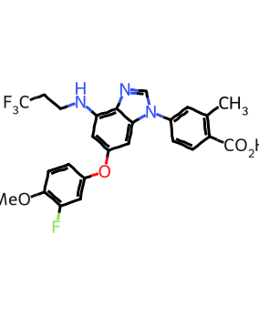 COc1ccc(Oc2cc(NCCC(F)(F)F)c3ncn(-c4ccc(C(=O)O)c(C)c4)c3c2)cc1F